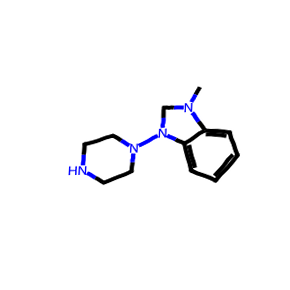 CN1CN(N2CCNCC2)c2ccccc21